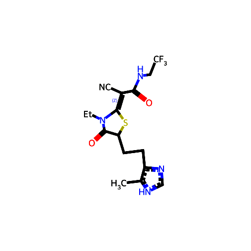 CCN1C(=O)C(CCc2nc[nH]c2C)S/C1=C(/C#N)C(=O)NCC(F)(F)F